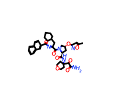 Cc1cc(O[C@H]2C[C@@H](C(=O)NC3(C(=O)C(N)=O)CCOCC3)N(C(=O)/C(CC3CCCCC3)=N/C(=O)c3ccc4ccccc4c3)C2)no1